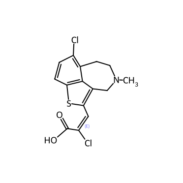 CN1CCc2c(Cl)ccc3sc(/C=C(/Cl)C(=O)O)c(c23)C1